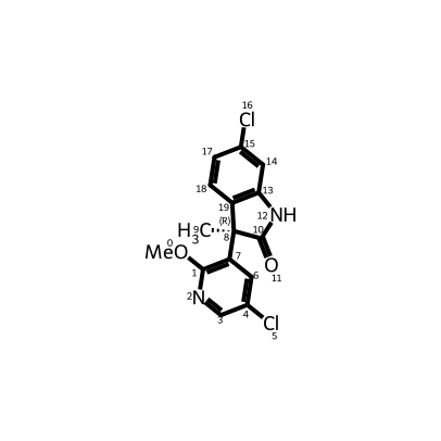 COc1ncc(Cl)cc1[C@]1(C)C(=O)Nc2cc(Cl)ccc21